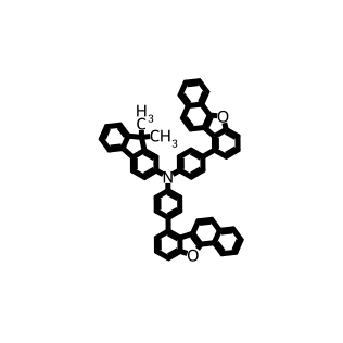 CC1(C)c2ccccc2-c2ccc(N(c3ccc(-c4cccc5oc6c7ccccc7ccc6c45)cc3)c3ccc(-c4cccc5oc6c7ccccc7ccc6c45)cc3)cc21